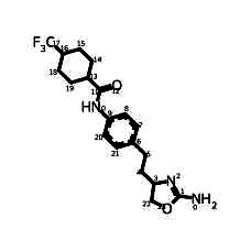 NC1=NC(CCc2ccc(NC(=O)C3CCC(C(F)(F)F)CC3)cc2)CO1